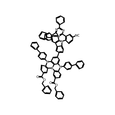 [C-]#[N+]c1ccc(-n2c3ccc(-c4ccccc4)cc3c3cc(-c4cc5c6c(c4)N(c4ccc(-c7ccccc7)cc4)c4ccc(C(=O)OCc7ccccc7)cc4B6c4cc(C(=O)OCc6ccccc6)ccc4N5c4ccc(-c5ccccc5)cc4)ccc32)c(-c2nc(-c3ccccc3)nc(-c3ccccc3)n2)c1